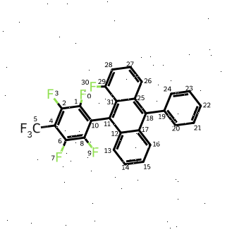 Fc1c(F)c(C(F)(F)F)c(F)c(F)c1-c1c2ccccc2c(-c2ccccc2)c2cccc(F)c12